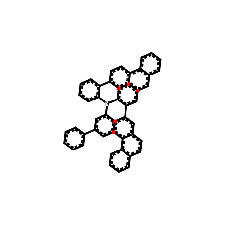 c1ccc(-c2cccc(N(c3ccccc3-c3ccc4c(ccc5ccccc54)c3)c3ccccc3-c3ccc4c(ccc5ccccc54)c3)c2)cc1